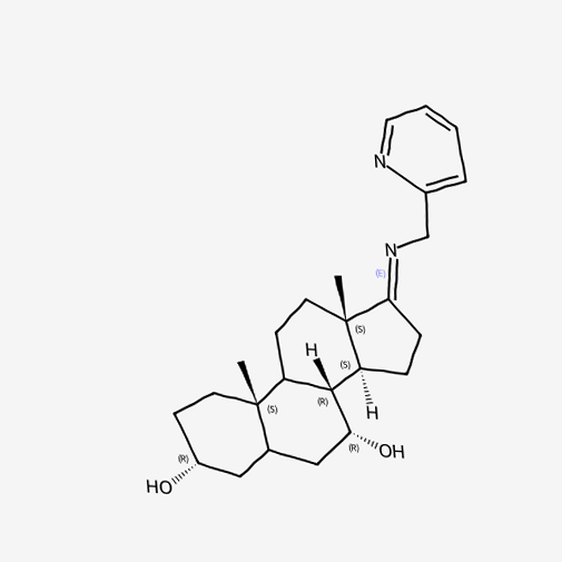 C[C@]12CC[C@@H](O)CC1C[C@@H](O)[C@@H]1C2CC[C@]2(C)/C(=N/Cc3ccccn3)CC[C@@H]12